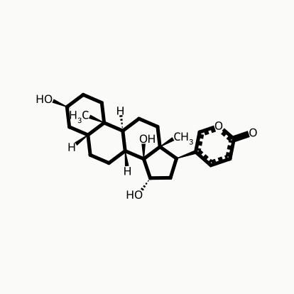 C[C@]12CC[C@H](O)C[C@H]1CC[C@@H]1[C@@H]2CC[C@]2(C)[C@@H](c3ccc(=O)oc3)C[C@H](O)[C@]12O